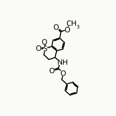 COC(=O)c1ccc2c(c1)S(=O)(=O)CCC2NC(=O)OCc1ccccc1